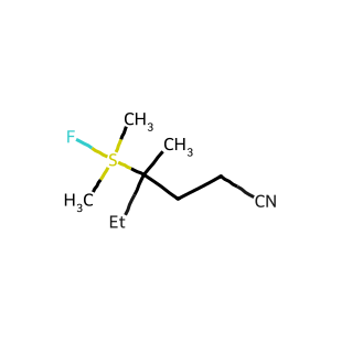 CCC(C)(CCC#N)S(C)(C)F